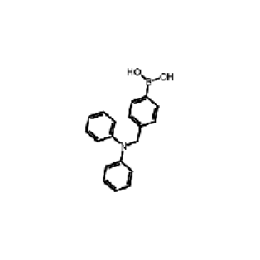 OB(O)c1ccc(CN(c2ccccc2)c2ccccc2)cc1